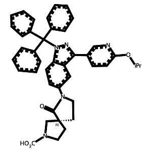 CC(C)Oc1ccc(-c2nn(C(c3ccccc3)(c3ccccc3)c3ccccc3)c3ccc(N4CC[C@@]5(CCN(C(=O)O)C5)C4=O)cc23)cn1